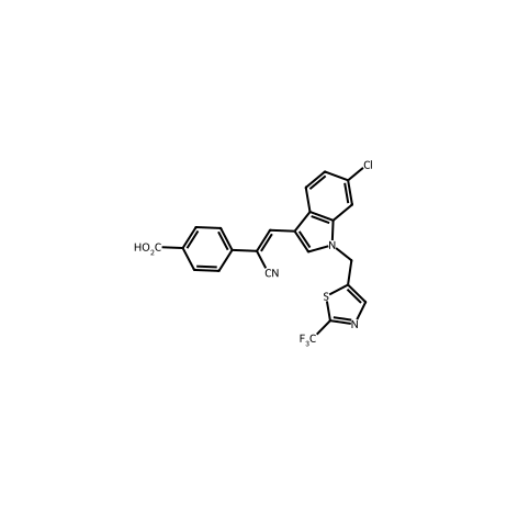 N#CC(=Cc1cn(Cc2cnc(C(F)(F)F)s2)c2cc(Cl)ccc12)c1ccc(C(=O)O)cc1